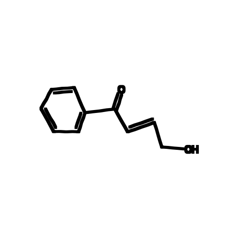 O=C(C=CCO)c1ccccc1